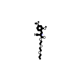 CCCOCCOCCOC(=O)/C(C#N)=C/c1ccc(N(C)C)cc1OC